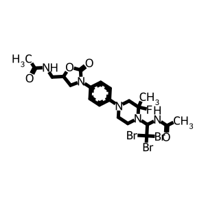 CC(=O)NCC1CN(c2ccc(N3CCN(C(NC(C)=O)C(Br)(Br)Br)C(C)(F)C3)cc2)C(=O)O1